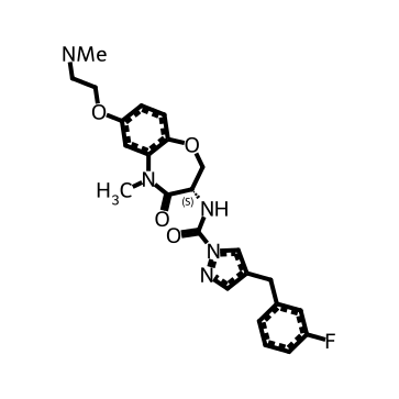 CNCCOc1ccc2c(c1)N(C)C(=O)[C@@H](NC(=O)n1cc(Cc3cccc(F)c3)cn1)CO2